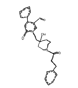 O=Cc1cn(CC2(O)CCN(C(=O)CCc3ccccc3)CC2)c(=O)cc1-c1ccccc1